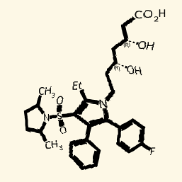 CCc1c(S(=O)(=O)N2C(C)CCC2C)c(-c2ccccc2)c(-c2ccc(F)cc2)n1CC[C@@H](O)C[C@@H](O)CC(=O)O